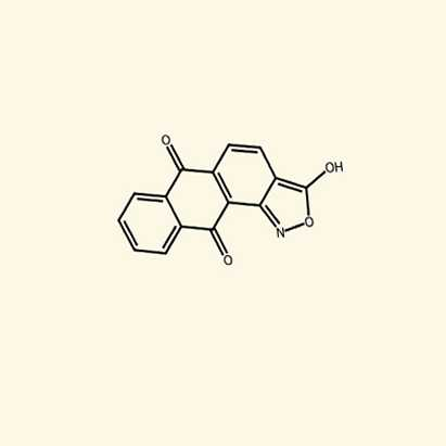 O=C1c2ccccc2C(=O)c2c1ccc1c(O)onc21